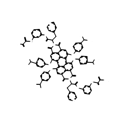 C=C(C)C(=O)Nc1cccc(NC(=O)C(Cc2ccncc2)N2C(=O)c3cc(Oc4ccc(C(C)C)cc4)c4c5c(Oc6ccc(C(C)C)cc6)cc6c7c(cc(Oc8ccc(C(C)C)cc8)c(c8c(Oc9ccc(C(C)C)cc9)cc(c3c48)C2=O)c75)C(=O)N(C(Cc2ccncc2)C(=O)Nc2cccc(NC(=O)C(=C)C)c2)C6=O)c1